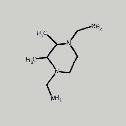 CC1C(C)N(CN)CCN1CN